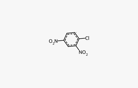 O=[N+]([O-])c1c[c]c(Cl)c([N+](=O)[O-])c1